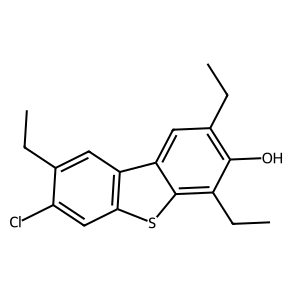 CCc1cc2c(cc1Cl)sc1c(CC)c(O)c(CC)cc12